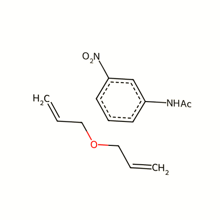 C=CCOCC=C.CC(=O)Nc1cccc([N+](=O)[O-])c1